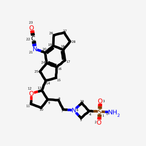 NS(=O)(=O)C1CN(CCC2CCOC2C2Cc3cc4c(c(N=C=O)c3C2)CCC4)C1